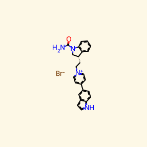 NC(=O)N1C[C@@H](CC[n+]2ccc(-c3ccc4[nH]ccc4c3)cc2)c2ccccc21.[Br-]